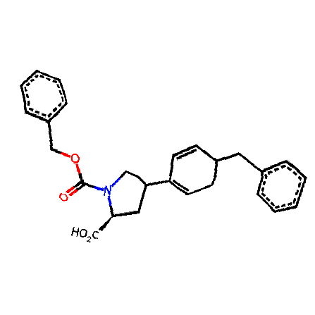 O=C(O)[C@@H]1CC(C2=CCC(Cc3ccccc3)C=C2)CN1C(=O)OCc1ccccc1